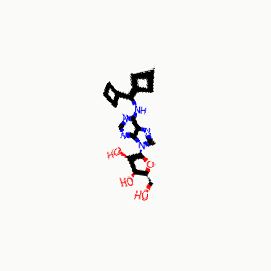 OC[C@H]1O[C@@H](n2cnc3c(NC(C4CCC4)C4CCC4)ncnc32)[C@H](O)[C@@H]1O